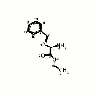 CCOC(=O)C(N)N=Cc1ccccc1